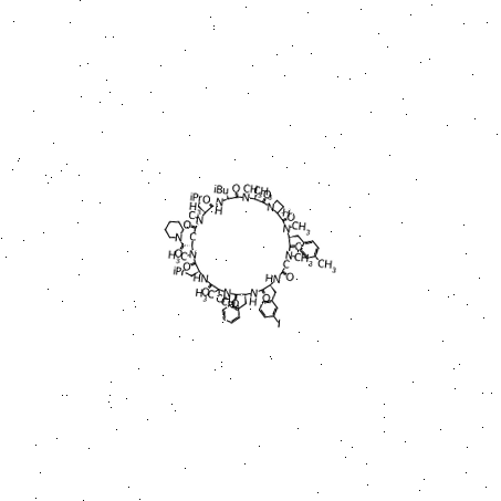 CC[C@H](C)[C@@H]1NC(=O)[C@H](CC(C)C)N(C)C(=O)C[C@@H](C(=O)N2CCCCC2)N(C)C(=O)[C@H](CC(C)C)NC(=O)C(C)(C)N(C)C(=O)[C@H](Cc2ccccc2)NC(=O)[C@H](Cc2cccc(I)c2)NC(=O)CN(C)C(=O)[C@H](Cc2ccc(C)cc2)N(C)C(=O)[C@@H]2CCN2C(=O)[C@H](C)N(C)C1=O